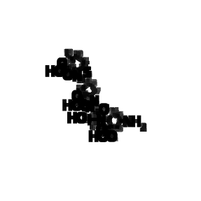 CC(O)=C(N=Nc1ccc(-c2nc3c(S(=O)(=O)O)c(C)ccc3s2)cc1S(=O)(=O)O)C(=O)Nc1ccc(N)cc1S(=O)(=O)O